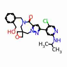 CC(C)Nc1cc(-c2cc3n(n2)CC2(COC2)CN(Cc2ccccc2CO)C3=O)c(Cl)cn1